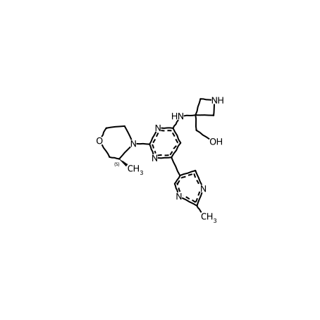 Cc1ncc(-c2cc(NC3(CO)CNC3)nc(N3CCOC[C@@H]3C)n2)cn1